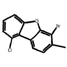 Cc1ccc2c(oc3cccc(Cl)c32)c1Br